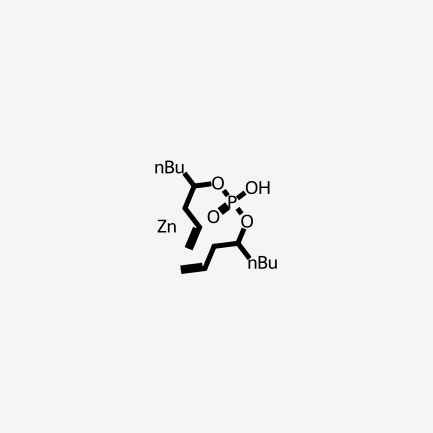 C=CCC(CCCC)OP(=O)(O)OC(CC=C)CCCC.[Zn]